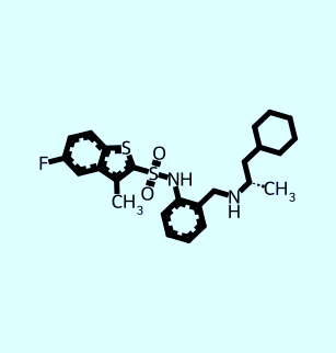 Cc1c(S(=O)(=O)Nc2ccccc2CN[C@@H](C)CC2CCCCC2)sc2ccc(F)cc12